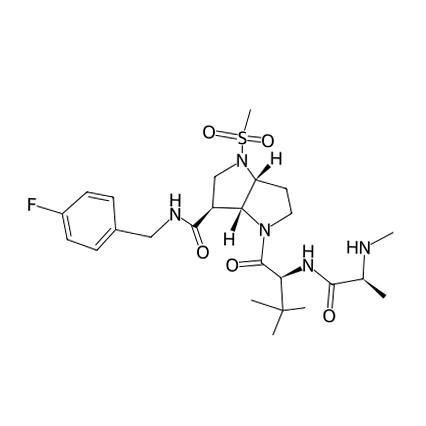 CN[C@@H](C)C(=O)N[C@H](C(=O)N1CC[C@@H]2[C@H]1[C@@H](C(=O)NCc1ccc(F)cc1)CN2S(C)(=O)=O)C(C)(C)C